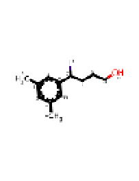 Cc1cc(C)cc(C(I)CCCO)c1